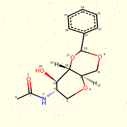 CC(=O)N[C@H]1CO[C@@H]2COC(c3ccccc3)O[C@H]2[C@@H]1O